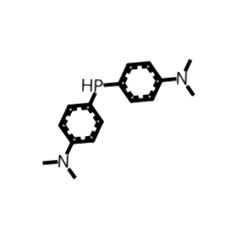 CN(C)c1ccc(Pc2ccc(N(C)C)cc2)cc1